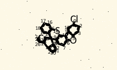 Clc1ccc2oc3ccc4c(c3c2c1)Sc1ccccc1C41c2ccccc2-c2ccccc21